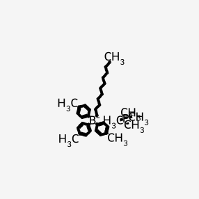 CCCCCCCCCCCC[B-](c1ccc(C)cc1)(c1ccc(C)cc1)c1ccc(C)cc1.C[P+](C)(C)C